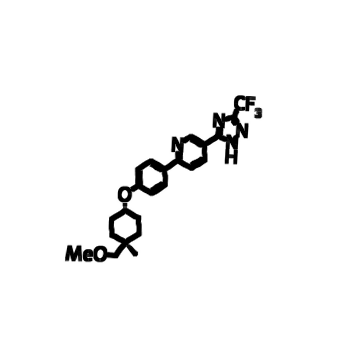 COC[C@]1(C)CC[C@H](Oc2ccc(-c3ccc(-c4nc(C(F)(F)F)n[nH]4)cn3)cc2)CC1